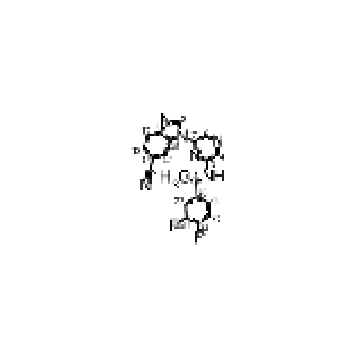 C[C@H](Nc1cncc(-n2cnc3ccc(C#N)cc32)n1)c1ccc(F)c(F)c1